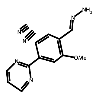 C#N.C#N.COc1cc(-c2ncccn2)ccc1C=NN